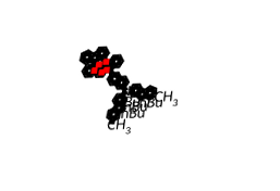 CCCCC1(CCCC)c2cc(C)ccc2-c2ccc(N(c3ccc4c(c3)C(CCCC)(CCCC)c3cc(C)ccc3-4)c3ccc4cc(-c5c6ccccc6c(-c6cccc7c6C(c6ccccc6)(c6ccccc6)c6ccccc6-7)c6ccccc56)ccc4c3)cc21